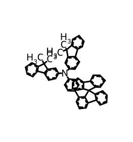 CC1(C)c2ccccc2-c2ccc(N(c3ccc(-c4cccc5c4C4(c6ccccc6-c6ccccc64)c4ccccc4-5)cc3)c3ccc4c(c3)C(C)(C)c3ccccc3-4)cc21